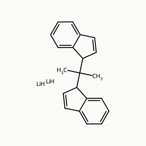 CC(C)(C1C=Cc2ccccc21)C1C=Cc2ccccc21.[LiH].[LiH]